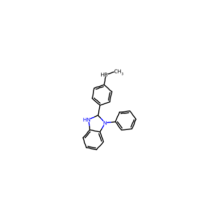 CBc1ccc(C2Nc3ccccc3N2c2ccccc2)cc1